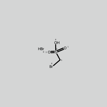 Br.O=S(=O)(O)CBr